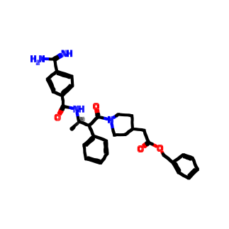 C[C@@H](NC(=O)c1ccc(C(=N)N)cc1)C(C(=O)N1CCC(CC(=O)OCc2ccccc2)CC1)c1ccccc1